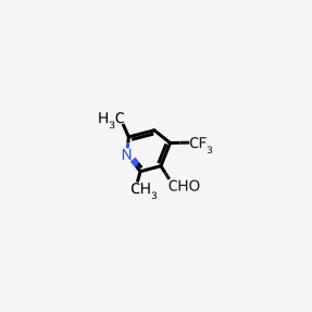 Cc1cc(C(F)(F)F)c(C=O)c(C)n1